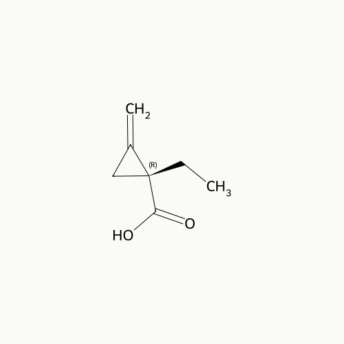 C=C1C[C@@]1(CC)C(=O)O